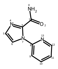 NC(=O)c1n[c]cn1-c1ccccn1